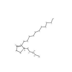 CCCCCCCCCCCC1=NCCN1CCOCC